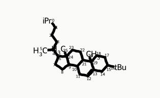 CC(C)CCCC(C)C1CCC2C3CC=C4CC(C(C)(C)C)CCC4(C)C3CCC12C